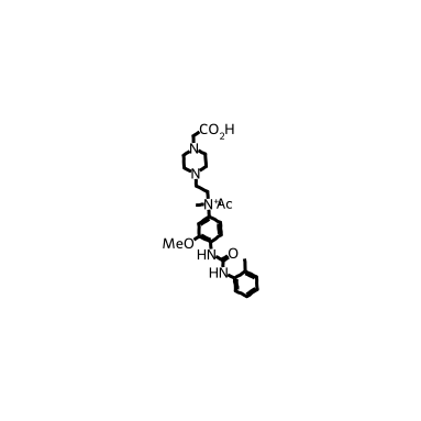 COc1cc([N+](C)(CCN2CCN(CC(=O)O)CC2)C(C)=O)ccc1NC(=O)Nc1ccccc1C